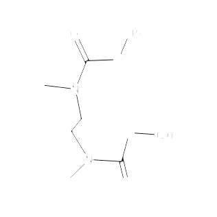 CN(CCN(C)C(=O)OC(C)(C)C)C(=O)OC(C)(C)C